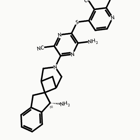 N#Cc1nc(Sc2ccnc(N)c2Cl)c(N)nc1N1CC2CC(C1)C21Cc2ccccc2[C@H]1N